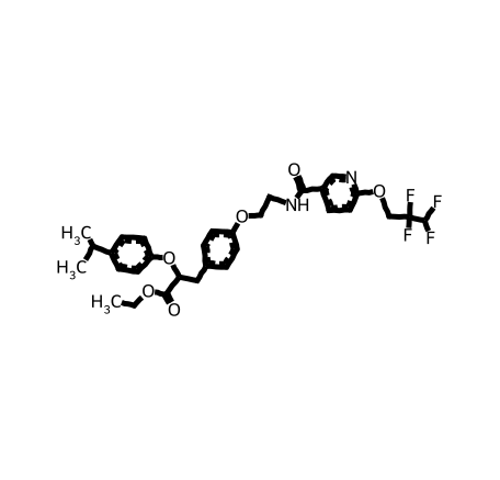 CCOC(=O)C(Cc1ccc(OCCNC(=O)c2ccc(OCC(F)(F)C(F)F)nc2)cc1)Oc1ccc(C(C)C)cc1